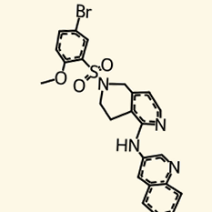 COc1ccc(Br)cc1S(=O)(=O)N1CCc2c(ccnc2Nc2cnc3ccccc3c2)C1